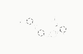 CC(C)OC(=O)c1cccnc1N1CCN(Cc2ccc(COc3cccc(OC(C)(C)F)c3)cc2)CC1